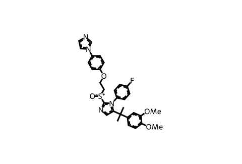 COc1ccc(C(C)(C)c2cnc([S+]([O-])CCOc3ccc(-n4ccnc4)cc3)n2-c2ccc(F)cc2)cc1OC